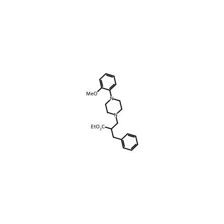 CCOC(=O)C(Cc1ccccc1)CN1CCN(c2ccccc2OC)CC1